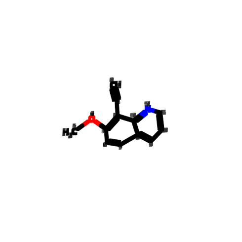 C#Cc1c(OC)ccc2cccnc12